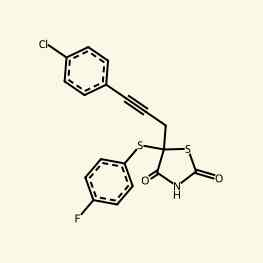 O=C1NC(=O)C(CC#Cc2ccc(Cl)cc2)(Sc2ccc(F)cc2)S1